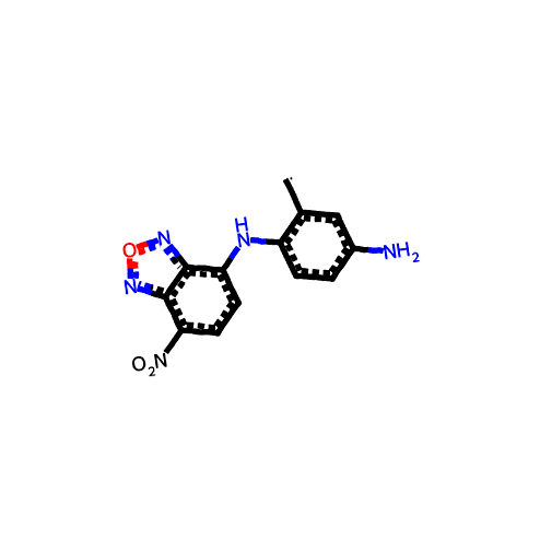 [CH2]c1cc(N)ccc1Nc1ccc([N+](=O)[O-])c2nonc12